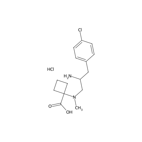 CN(CC(N)Cc1ccc(Cl)cc1)C1(C(=O)O)CCC1.Cl